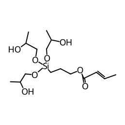 CC=CC(=O)OCCC[Si](OCC(C)O)(OCC(C)O)OCC(C)O